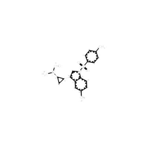 Cc1ccc(S(=O)(=O)n2cc([C@@H]3C[C@H]3N(C)C=O)c3cc(C#N)ccc32)cc1